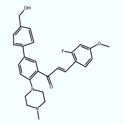 COc1ccc(/C=C/C(=O)c2cc(-c3ccc(CO)cc3)ccc2N2CCN(C)CC2)c(F)c1